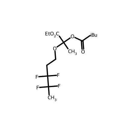 CCOC(=O)C(C)(OCCC(F)(F)C(C)(F)F)OC(=O)C(C)CC